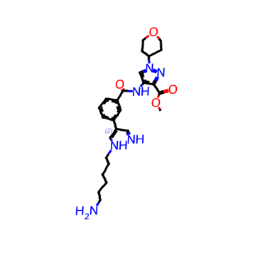 COC(=O)c1nn(C2CCOCC2)cc1NC(=O)c1cccc(/C(C=N)=C/NCCCCCCN)c1